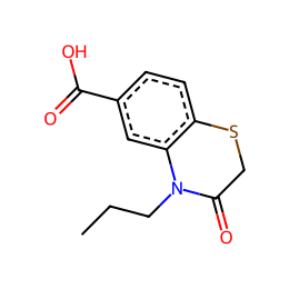 CCCN1C(=O)CSc2ccc(C(=O)O)cc21